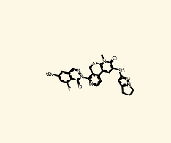 CC(=O)OCc1c(-c2cc(Nc3cc4n(n3)CCC4)c(=O)n(C)c2)ccnc1-n1ncc2cc(C(C)(C)C)cc(F)c2c1=O